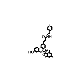 Cc1cc(C)c(S(=O)(=O)N(Cc2cccc(O)c2)c2ccc(C=CC(=O)NCCc3ccncc3)cc2)c(C)c1